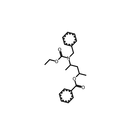 CCOC(=O)N(Cc1ccccc1)C(C)CC(C)OC(=O)c1ccccc1